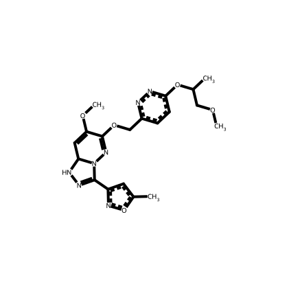 COCC(C)Oc1ccc(COC2=NN3C(c4cc(C)on4)=NNC3C=C2OC)nn1